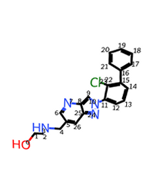 OCCNCc1cnc2cn(-c3cccc(-c4ccccc4)c3Cl)nc2c1